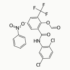 O=COc1c(C(=O)Nc2cc(Cl)ccc2Cl)cccc1C(F)(F)F.O=[N+]([O-])c1ccccc1